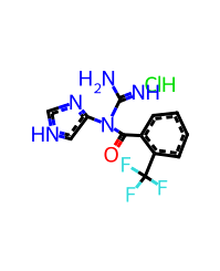 Cl.N=C(N)N(C(=O)c1ccccc1C(F)(F)F)c1c[nH]cn1